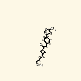 COCCON=C1CN(C(=O)Cc2ccc(-c3noc(C(F)(F)F)n3)cc2)C1